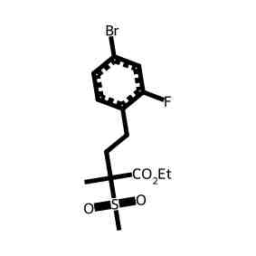 CCOC(=O)C(C)(CCc1ccc(Br)cc1F)S(C)(=O)=O